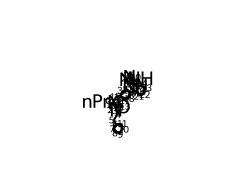 CCCc1cn(CCc2ccccc2)c(=O)n1Cc1ccc(-c2cccnc2-c2nnn[nH]2)cc1